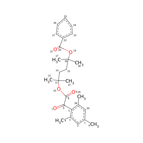 Cc1cc(C)c(C(=O)C(=O)OC(C)(C)CCC(C)(C)OC(=O)c2ccccc2)c(C)c1